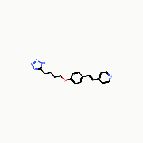 C(=Cc1ccc(OCCCCc2nnn[nH]2)cc1)c1ccncc1